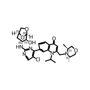 CC(C)n1c(CN2[C@@H](C)COC[C@@H]2C)cc(=O)c2ccc(-c3nc(N[C@@H]4C[C@H]5CO[C@H](O5)[C@H]4O)ncc3Cl)cc21